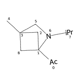 CC(=O)C12CC(C)(CN1C(C)C)C2